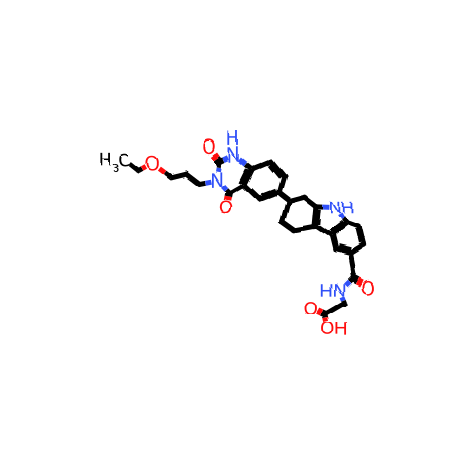 CCOCCCn1c(=O)[nH]c2ccc(C3CCc4c([nH]c5ccc(C(=O)NCC(=O)O)cc45)C3)cc2c1=O